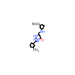 COc1cccc(NCc2cc(=O)n3nc(-c4cccc(C)c4)nc3[nH]2)c1